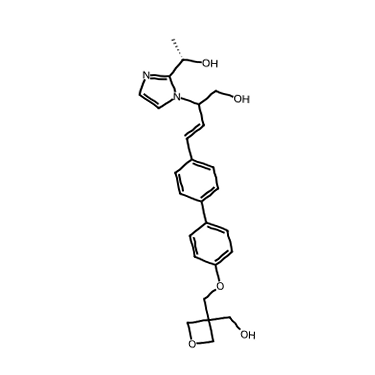 C[C@H](O)c1nccn1C(C=Cc1ccc(-c2ccc(OCC3(CO)COC3)cc2)cc1)CO